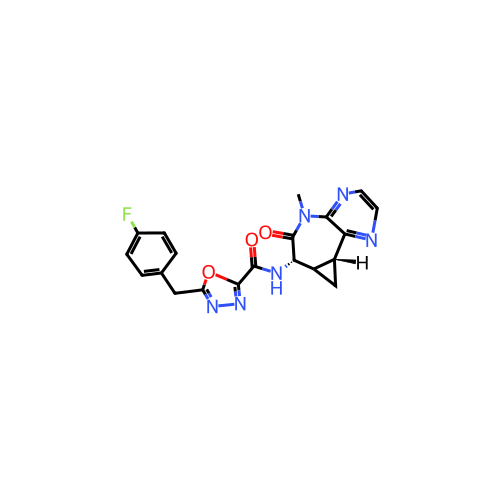 CN1C(=O)[C@@H](NC(=O)c2nnc(Cc3ccc(F)cc3)o2)C2C[C@H]2c2nccnc21